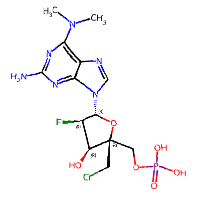 CN(C)c1nc(N)nc2c1ncn2[C@@H]1O[C@](CCl)(COP(=O)(O)O)[C@@H](O)[C@H]1F